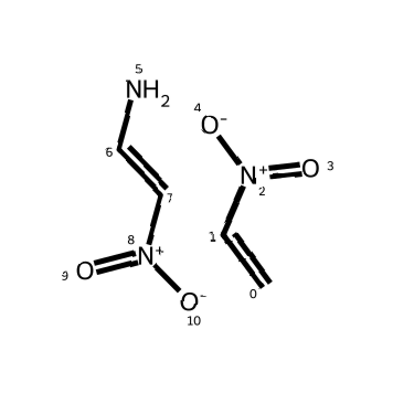 C=C[N+](=O)[O-].NC=C[N+](=O)[O-]